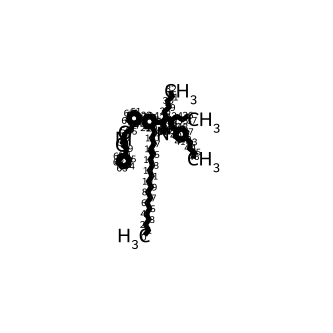 CCCCCCCCCCCCCCCC=CCCCc1ccccc1C1=C(CCCCC)C(CCCC)=C(c2ccc(CCCC)cc2)[N+]1=[N-].c1ccc(C[O][Ni][O]Cc2ccccc2)cc1